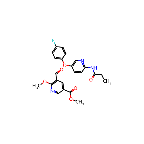 CCC(=O)Nc1ccc(Oc2ccc(F)cc2)cn1.COC(=O)c1cnc(OC)c(C=O)c1